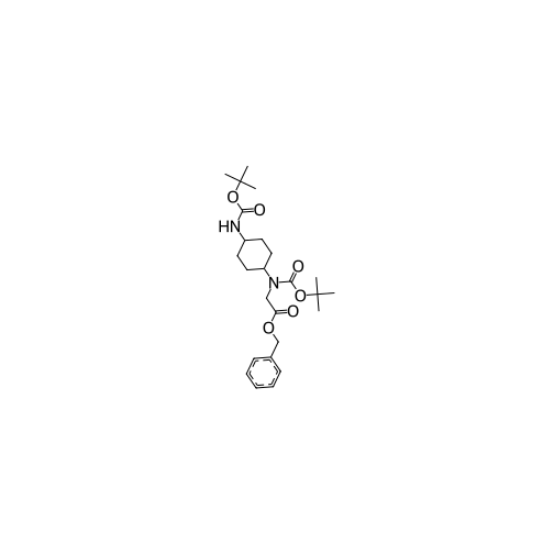 CC(C)(C)OC(=O)NC1CCC(N(CC(=O)OCc2ccccc2)C(=O)OC(C)(C)C)CC1